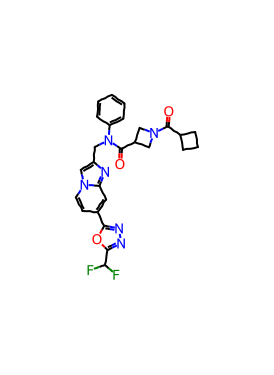 O=C(C1CCC1)N1CC(C(=O)N(Cc2cn3ccc(-c4nnc(C(F)F)o4)cc3n2)c2ccccc2)C1